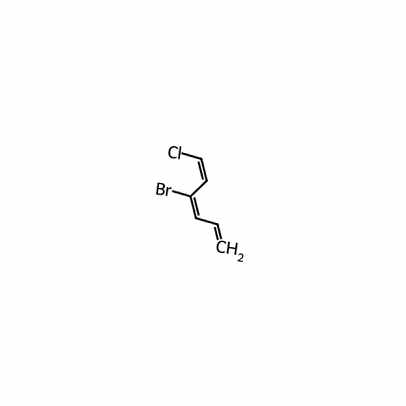 C=C/C=C(Br)\C=C/Cl